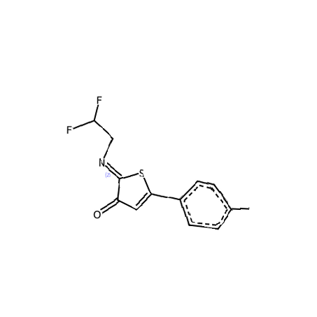 Cc1ccc(C2=CC(=O)/C(=N/CC(F)F)S2)cc1